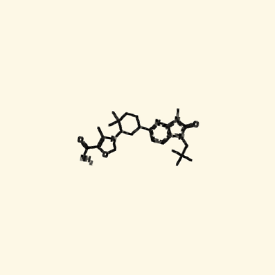 CC1=C(C(N)=O)OCN1C1CC(c2ccc3c(n2)n(C)c(=O)n3CC(C)(C)C)CCC1(C)C